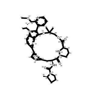 CCn1c(-c2cccnc2[C@H](C)OC)c2c3cc(ccc31)-c1csc(n1)C[C@H](NC(=O)N1CCC[C@H]1C)C(=O)N1CCC[C@](C=O)(COCC(C)(C)C2)N1